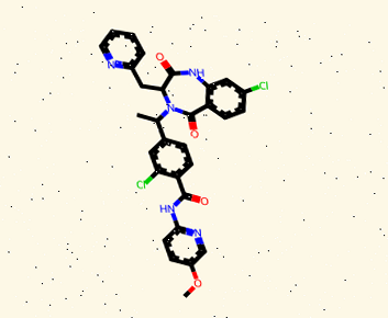 COc1ccc(NC(=O)c2ccc(C(C)N3C(=O)c4ccc(Cl)cc4NC(=O)C3Cc3ccccn3)cc2Cl)nc1